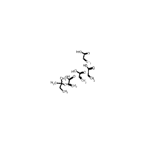 C=CC(=O)O.C=CC(=O)O.C=CC(=O)O.C=CC(=O)O.CCC(C)(C)C